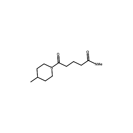 CNC(=O)CCCC(=O)N1CCC(C)CC1